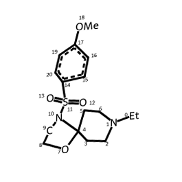 CCN1CCC2(CC1)OCCN2S(=O)(=O)c1ccc(OC)cc1